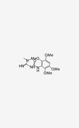 COc1cc(OC)c(OC)c(NC(=O)NC(=N)N(C)C)c1OC